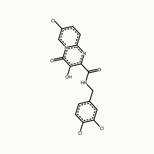 O=C(NCc1ccc(Cl)c(Cl)c1)c1nc2ccc(Cl)cn2c(=O)c1O